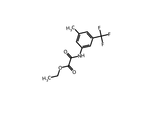 CCOC(=O)C(=O)Nc1cc(C)cc(C(F)(F)F)c1